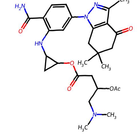 CC(=O)OC(CC(=O)OC1CC1Nc1cc(-n2nc(C)c3c2CC(C)(C)CC3=O)ccc1C(N)=O)CN(C)C